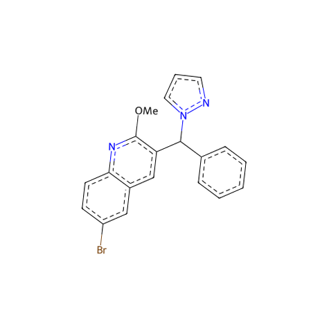 COc1nc2ccc(Br)cc2cc1C(c1ccccc1)n1cccn1